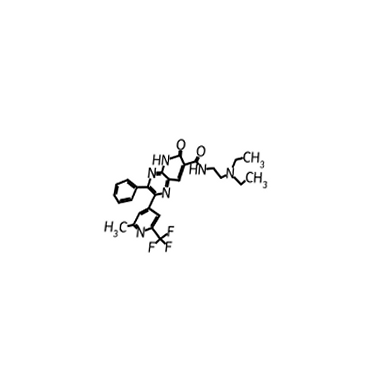 CCN(CC)CCNC(=O)c1cc2nc(-c3cc(C)nc(C(F)(F)F)c3)c(-c3ccccc3)nc2[nH]c1=O